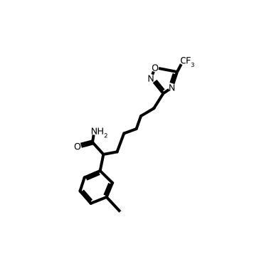 Cc1cccc(C(CCCCCc2noc(C(F)(F)F)n2)C(N)=O)c1